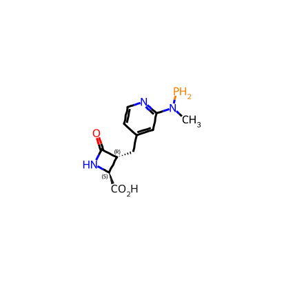 CN(P)c1cc(C[C@H]2C(=O)N[C@@H]2C(=O)O)ccn1